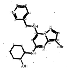 O[C@H]1CCCCC1Nc1cc(NCc2cccnc2)n2ncc(Br)c2n1